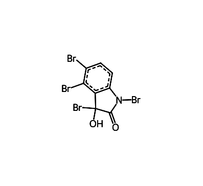 O=C1N(Br)c2ccc(Br)c(Br)c2C1(O)Br